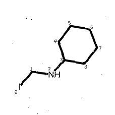 ICNC1CCCCC1